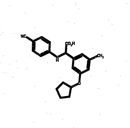 Cc1cc(OC2CCCC2)cc(C(Nc2ccc(C#N)cc2)C(=O)O)c1